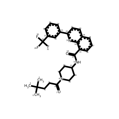 CC(C)(C)CCC(=O)N1CCC(NC(=O)c2cccc3ccc(-c4cccc(C(F)(F)F)c4)nc23)CC1